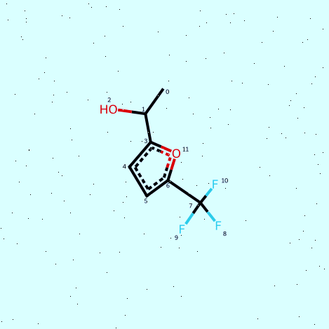 CC(O)c1ccc(C(F)(F)F)o1